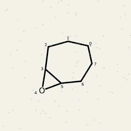 [CH]1CCC2OC2CC1